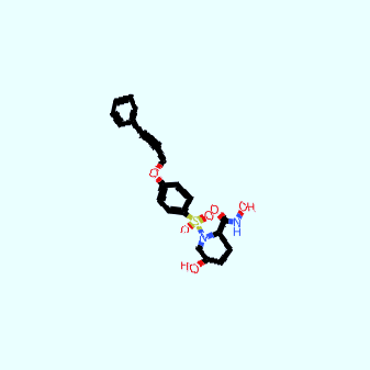 O=C(NO)C1CCC(O)CN1S(=O)(=O)c1ccc(OCC#Cc2ccccc2)cc1